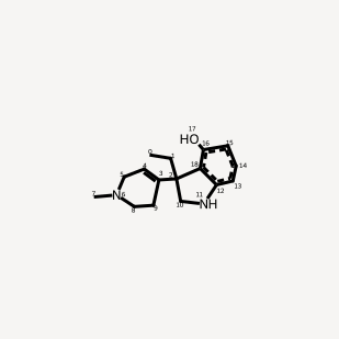 CCC1(C2=CCN(C)CC2)CNc2cccc(O)c21